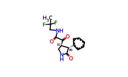 CC(F)(F)CNC(=O)C(=O)[C@@H]1CNC(=O)[C@H]1c1ccccc1